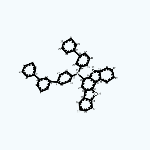 c1ccc(-c2cccc(-c3ccc(N(c4cccc(-c5ccccc5)c4)c4cc5c6ccccc6oc5c5c4sc4ccccc45)cc3)c2)cc1